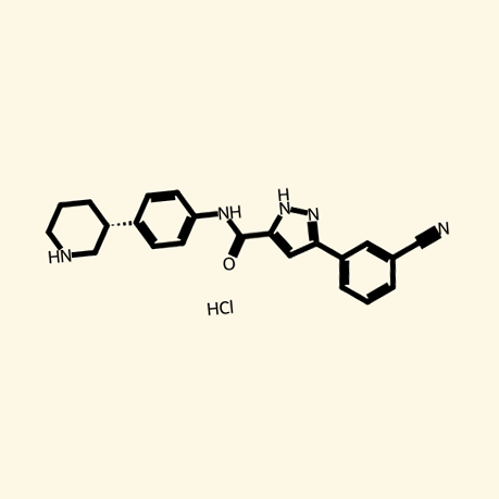 Cl.N#Cc1cccc(-c2cc(C(=O)Nc3ccc([C@H]4CCCNC4)cc3)[nH]n2)c1